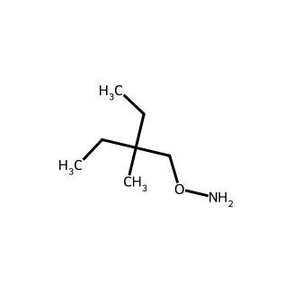 CCC(C)(CC)CON